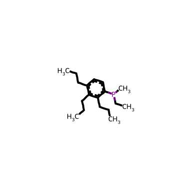 CCCc1ccc(P(C)CC)c(CCC)c1CCC